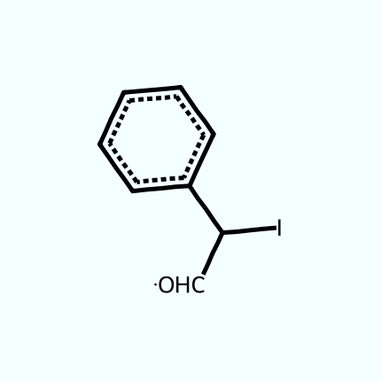 O=[C]C(I)c1ccccc1